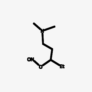 CCC(CCN(C)C)ON=O